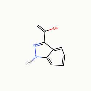 C=C(O)c1nn(C(C)C)c2ccccc12